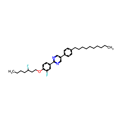 CCCCCCCCCCc1ccc(-c2cnc(-c3ccc(OCCC(F)CCCC)c(F)c3)nc2)cc1